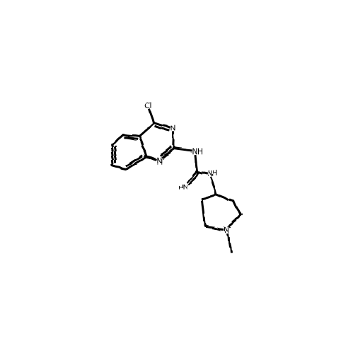 CN1CCC(NC(=N)Nc2nc(Cl)c3ccccc3n2)CC1